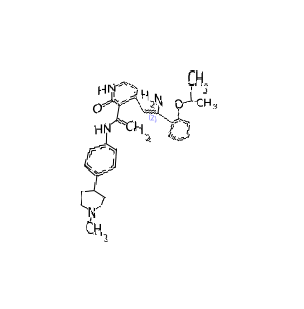 C=C(Nc1ccc(C2CCN(C)CC2)cc1)c1c(/C=C(\N)c2ccccc2OC(C)C)cc[nH]c1=O